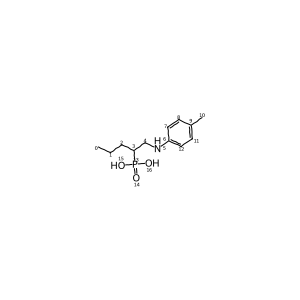 CCCC(CNc1ccc(C)cc1)P(=O)(O)O